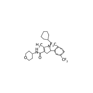 CC1=C(C(=O)NC2CCOCC2)CC(c2cc(C(F)(F)F)ccc2C(F)(F)F)N1CC1CCCCC1